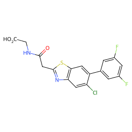 O=C(O)CNC(=O)Cc1nc2cc(Cl)c(-c3cc(F)cc(F)c3)cc2s1